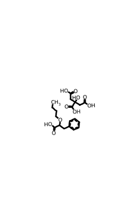 CCCCOC(Cc1ccccc1)C(=O)O.O=C(O)CC(O)(CC(=O)O)C(=O)O